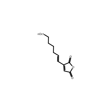 CCCCCCCCCCCCC=CC1=CC(=O)OC1=O